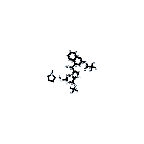 CN1CCC[C@H]1COc1nc(OC(C)(C)C)c2ncc(C(O)c3cc(OC(=O)C(C)(C)C)cc4ccccc34)n2n1